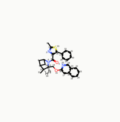 Cc1nc(C(=O)N2C3CC(C3)[C@H](C)[C@@H]2COc2cc3ccccc3cn2)c(-c2ccccc2)s1